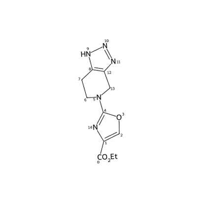 CCOC(=O)c1coc(N2CCc3[nH]nnc3C2)n1